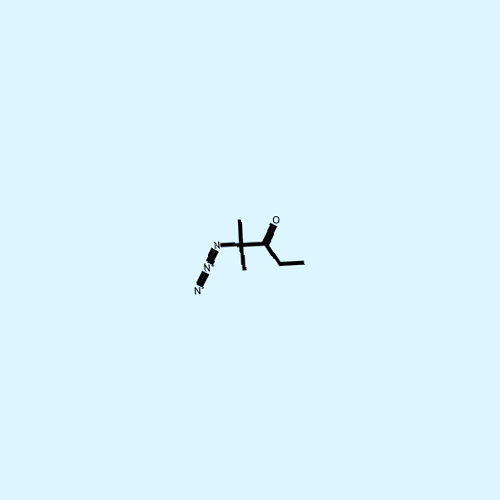 CCC(=O)C(C)(C)N=[N+]=[N-]